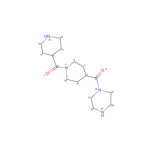 O=C(C1CCN(C(=O)C2CCNCC2)CC1)N1CCNCC1